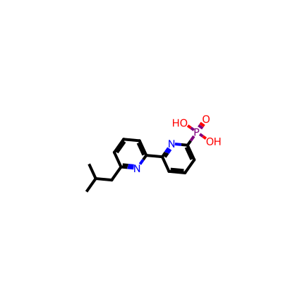 CC(C)Cc1cccc(-c2cccc(P(=O)(O)O)n2)n1